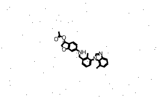 CC(=O)O[C@@H]1COc2cc(NCc3cccc(-n4cnc5cccc(C)c54)c3C)ccc21